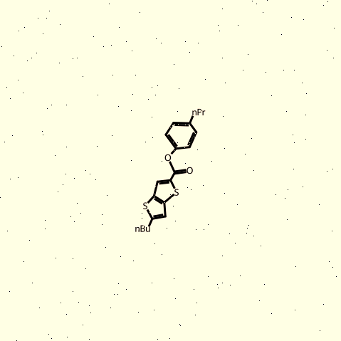 CCCCc1cc2sc(C(=O)Oc3ccc(CCC)cc3)cc2s1